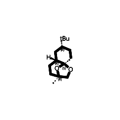 CC(C)(C)[C@@H]1CC[C@@]23OC[C@@](C)(CC[C@@H]2C1)O3